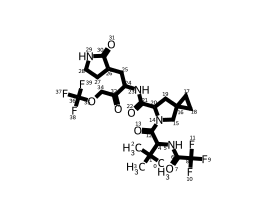 CC(C)(C)C(NC(=O)C(F)(F)F)C(=O)N1CC2(CC2)CC1C(=O)NC(CC1CCNC1=O)C(=O)COC(F)(F)F